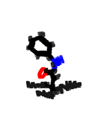 CNC(CC(=O)Nc1cc[c]cc1)(NC)NC